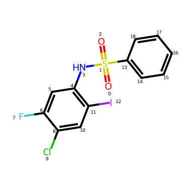 O=S(=O)(Nc1cc(F)c(Cl)cc1I)c1ccccc1